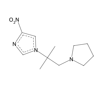 CC(C)(CN1CCCC1)n1cnc([N+](=O)[O-])c1